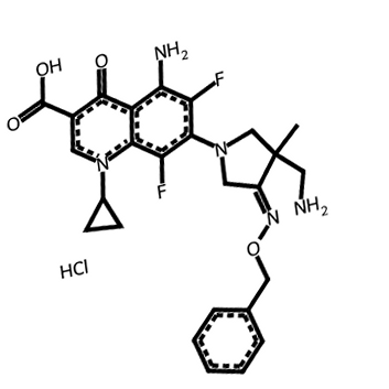 CC1(CN)CN(c2c(F)c(N)c3c(=O)c(C(=O)O)cn(C4CC4)c3c2F)CC1=NOCc1ccccc1.Cl